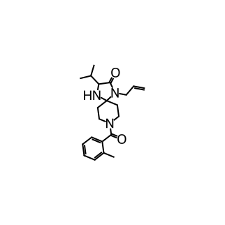 C=CCN1C(=O)C(C(C)C)NC12CCN(C(=O)c1ccccc1C)CC2